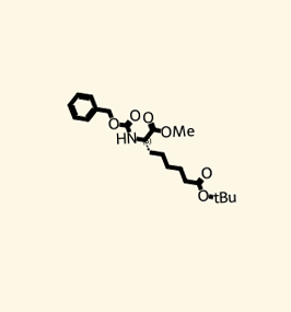 COC(=O)[C@H](CCCCCC(=O)OC(C)(C)C)NC(=O)OCc1ccccc1